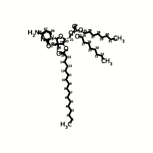 CCCCCCCCCCCCCCCCC(=O)O[C@@H]1[C@@H](COP(=O)(OCCCCCCCC)OCCCCCCCC)O[C@@H](n2ccc(N)nc2=O)C1(F)F